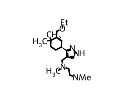 CCOCC1C[C@@H](c2n[nH]cc2CN(C)CCNC)CCC1(C)C